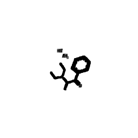 CCN(CC)C(C)C(=O)c1ccccc1.Cl.[AlH3]